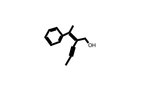 CC#C/C(CO)=C(/C)c1ccccc1